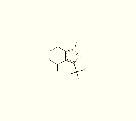 CC1CCCc2c1c(C(F)(F)F)nn2C